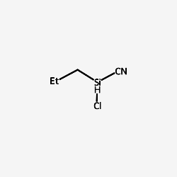 CCC[SiH](Cl)C#N